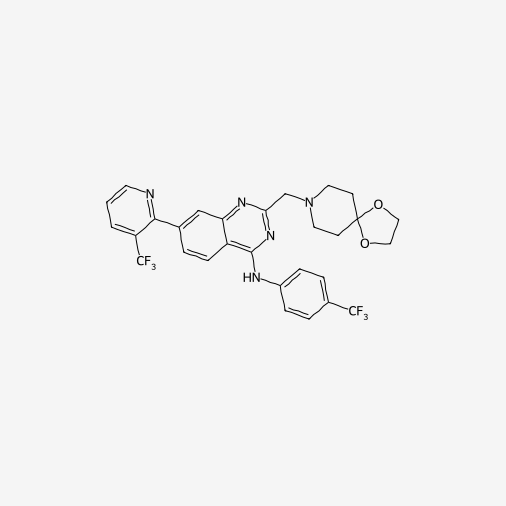 FC(F)(F)c1ccc(Nc2nc(CN3CCC4(CC3)OCCO4)nc3cc(-c4ncccc4C(F)(F)F)ccc23)cc1